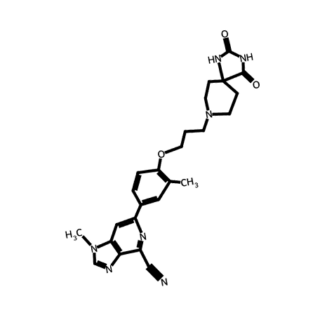 Cc1cc(-c2cc3c(ncn3C)c(C#N)n2)ccc1OCCCN1CCC2(CC1)NC(=O)NC2=O